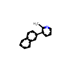 Cc1ncccc1-c1ccc2ccccc2c1